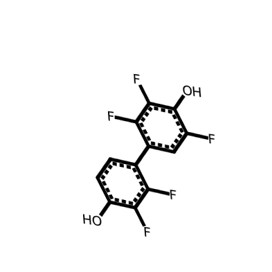 Oc1ccc(-c2cc(F)c(O)c(F)c2F)c(F)c1F